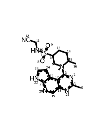 Cc1nc(N2CC(S(=O)(=O)NCC#N)CCC2C)c2c(cnc3[nH]ccc32)n1